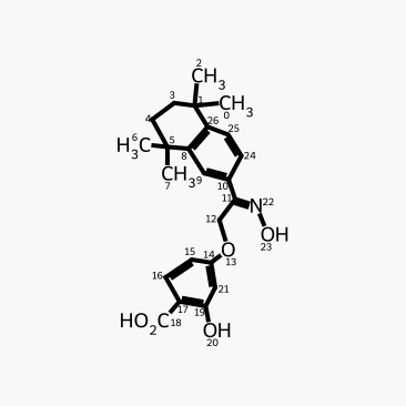 CC1(C)CCC(C)(C)c2cc(C(COc3ccc(C(=O)O)c(O)c3)=NO)ccc21